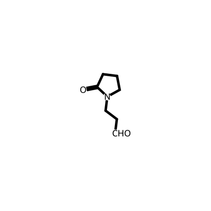 O=CCCN1CCCC1=O